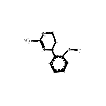 CCSc1ccccc1C1CCNC(N)=N1